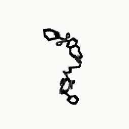 Cn1c(SCCCN2CCc3ccc(S(=O)(=O)c4ccccc4)cc3C2)nnc1-c1ccccc1